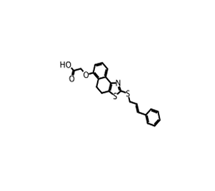 O=C(O)COc1cccc2c1CCc1sc(SCC=Cc3ccccc3)nc1-2